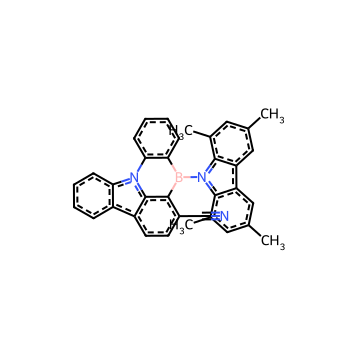 Cc1cc(C)c2c(c1)c1cc(C)cc(C)c1n2B1c2ccccc2-n2c3ccccc3c3ccc(C#N)c1c32